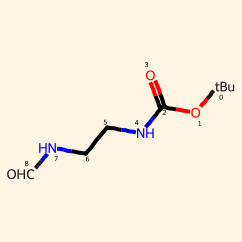 CC(C)(C)OC(=O)NCCNC=O